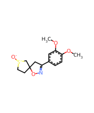 COc1ccc(C2=NOC3(CC[S+]([O-])C3)C2)cc1OC